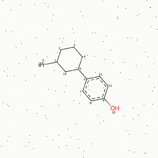 CC(C)C1CCCC(c2ccc(O)cc2)C1